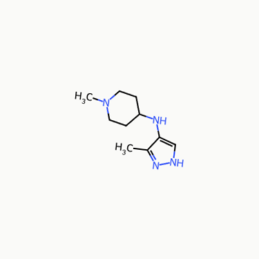 Cc1n[nH]cc1NC1CCN(C)CC1